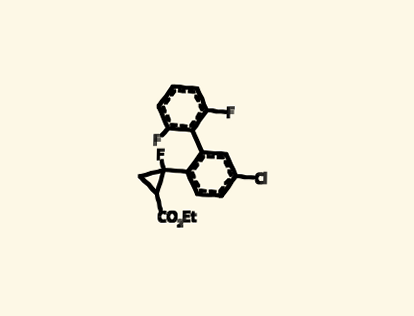 CCOC(=O)C1CC1(F)c1ccc(Cl)cc1-c1c(F)cccc1F